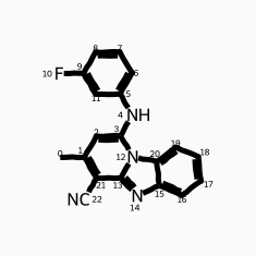 Cc1cc(Nc2cccc(F)c2)n2c(nc3ccccc32)c1C#N